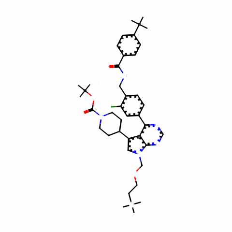 CC(C)(C)OC(=O)N1CCC(c2cn(COCC[Si](C)(C)C)c3ncnc(-c4ccc(CNC(=O)c5ccc(C(C)(C)C)cc5)c(F)c4)c23)CC1